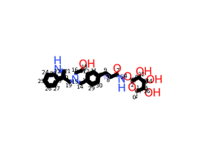 C[C@@H]1O[C@@H](ONC(=O)/C=C/c2ccc(CN(CCO)Cc3c[nH]c4ccccc34)cc2)[C@@H](O)[C@H](O)[C@@H]1O